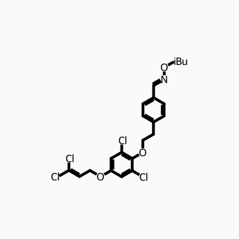 CCC(C)ON=Cc1ccc(CCOc2c(Cl)cc(OCC=C(Cl)Cl)cc2Cl)cc1